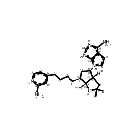 CC1(C)C[C@@H]2[C@H](O1)[C@@H](CCCCc1ccnc(N)c1)C[C@H]2n1ccc2c(N)ncnc21